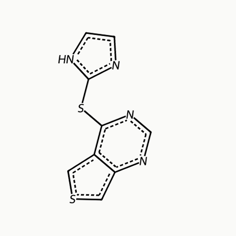 c1c[nH]c(Sc2ncnc3cscc23)n1